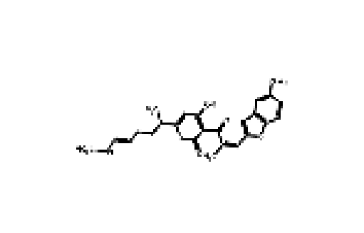 CCCCCCc1ccc2oc(C=C(C)C(=O)c3c(O)cc(C(C)CCC=CNC(=O)O)oc3=O)cc2c1